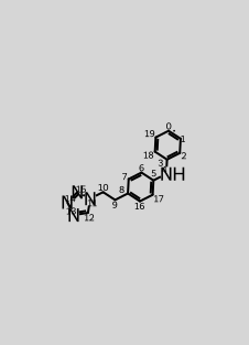 [c]1ccc(Nc2ccc(CCn3cnnn3)cc2)cc1